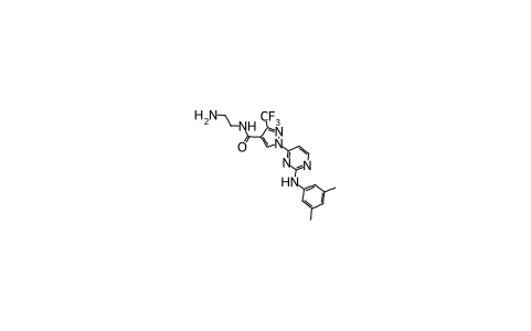 Cc1cc(C)cc(Nc2nccc(-n3cc(C(=O)NCCN)c(C(F)(F)F)n3)n2)c1